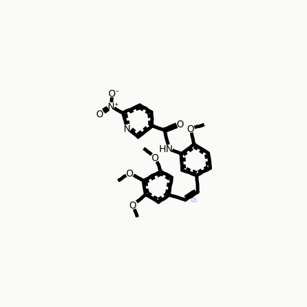 COc1ccc(/C=C\c2cc(OC)c(OC)c(OC)c2)cc1NC(=O)c1ccc([N+](=O)[O-])nc1